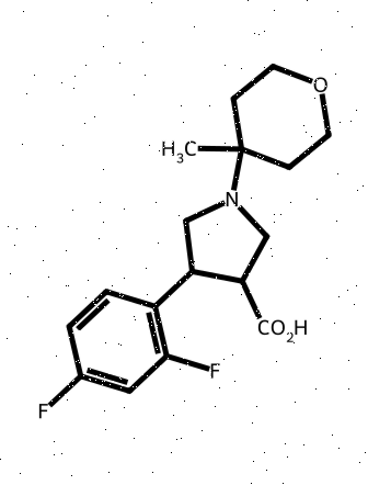 CC1(N2CC(C(=O)O)C(c3ccc(F)cc3F)C2)CCOCC1